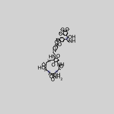 COc1ccc(/C(C=N)=C(/O)c2cc(OC)c(OC)c(OC)c2)cc1OC(=O)N1CCN(CCNC2=C3C[C@@H](C)CC(OC)C(O)[C@@H](C)/C=C(\C)[C@H](OC(N)=O)C(O)/C=C\C(C)C(=O)NC(=CC2=O)C3=O)CC1